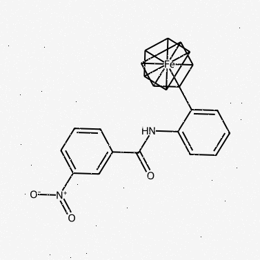 O=C(Nc1ccccc1[C]12[CH]3[CH]4[CH]5[CH]1[Fe]45321678[CH]2[CH]1[CH]6[CH]7[CH]28)c1cccc([N+](=O)[O-])c1